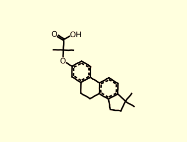 CC(C)(Oc1ccc2c(c1)CCc1c-2ccc2c1CCC2(C)C)C(=O)O